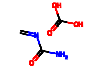 C=NC(N)=O.O=C(O)O